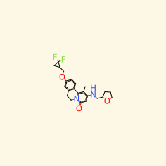 Cc1c(NCC2CCCO2)cc(=O)n2c1-c1ccc(OCC3CC3(F)F)cc1CC2